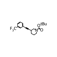 CC(C)(C)OC(=O)N1CCCC(C#Cc2cccc(C(F)(F)F)c2)C1